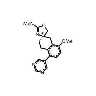 CNC1=N[C@@]2(CCc3c(-c4cncnc4)ccc(OC)c3C2)CO1